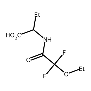 CCOC(F)(F)C(=O)NC(CC)C(=O)O